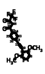 COc1cccc(OC)c1C#Cc1ccc(C(=O)CC(=O)C(F)(F)F)cc1